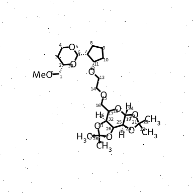 COC[C@@H]1CCOC([C@@H]2CCC[C@@H]2OCCOCC2O[C@@H]3OC(C)(C)O[C@H]3C3OC(C)(C)O[C@@H]23)O1